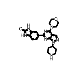 O=c1[nH]c2ccc(-c3nc(N4CCOCC4)c4cnn(C5CCNCC5)c4n3)cc2[nH]1